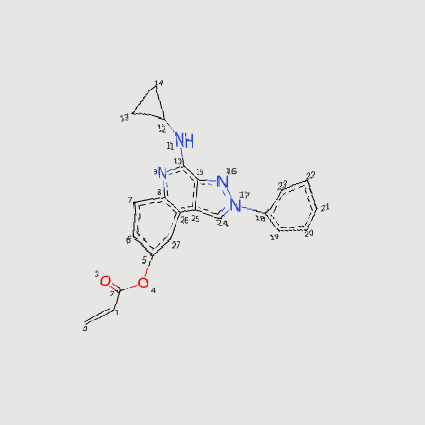 C=CC(=O)Oc1ccc2nc(NC3CC3)c3nn(-c4ccccc4)cc3c2c1